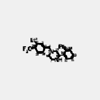 CCc1cc(CN2CCN[C@H](c3ccccc3C(C)C)C2)ccc1C(F)(F)F